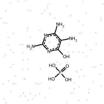 Nc1nc(N)c(N)c(O)n1.O=P(O)(O)O